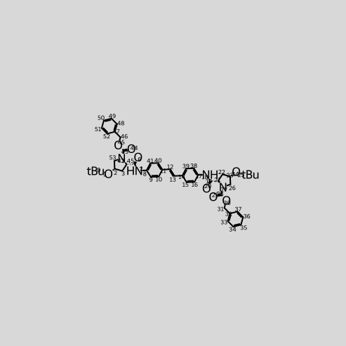 CC(C)(C)O[C@@H]1C[C@@H](C(=O)Nc2ccc(/C=C/c3ccc(NC(=O)[C@@H]4C[C@@H](OC(C)(C)C)CN4C(=O)OCc4ccccc4)cc3)cc2)N(C(=O)OCc2ccccc2)C1